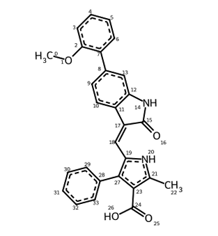 COc1ccccc1-c1ccc2c(c1)NC(=O)C2=Cc1[nH]c(C)c(C(=O)O)c1-c1ccccc1